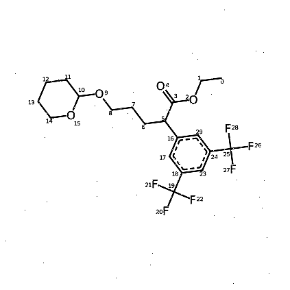 CCOC(=O)C(CCCOC1CCCCO1)c1cc(C(F)(F)F)cc(C(F)(F)F)c1